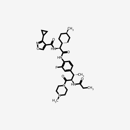 CCC(=O)N[C@@H](C(=O)N1CCN(C)CC1)[C@@H](C)c1ccc(NC(=O)[C@@H](NC(=O)c2conc2C2CC2)[C@H]2CC[C@H](C)CC2)c(F)c1